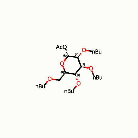 CCCCOC[C@H]1O[C@H](OC(C)=O)[C@H](OCCCC)[C@@H](OCCCC)[C@@H]1OCCCC